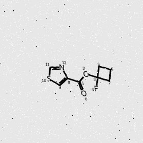 O=C(OC1(F)CCC1)c1cscn1